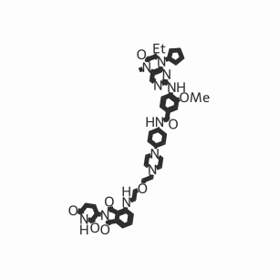 CC[C@@H]1C(=O)N(C)c2cnc(Nc3ccc(C(=O)N[C@H]4CC[C@H](N5CCN(CCOCCNc6cccc7c6C(=O)N(C6CCC(=O)NC6=O)C7=O)CC5)CC4)cc3OC)nc2N1C1CCCC1